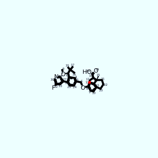 CO[C@H](c1cc(COc2ccc3c(c2)[C@](C)(C(C)C(=O)O)CCC3)ccc1-c1cncc(F)c1)C(C)(C)C